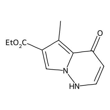 CCOC(=O)c1cn2[nH]ccc(=O)c2c1C